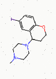 CN1CCN(C2CCOc3ccc(I)cc32)CC1